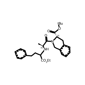 CCOC(=O)C(CCc1ccccc1)N[C@@H](C)C(=O)N1Cc2ccccc2C[C@H]1C(=O)OC(C)(C)C